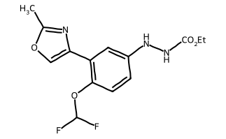 CCOC(=O)NNc1ccc(OC(F)F)c(-c2coc(C)n2)c1